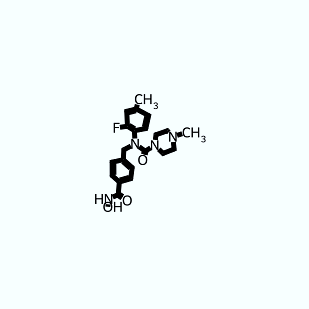 Cc1ccc(N(Cc2ccc(C(=O)NO)cc2)C(=O)N2CCN(C)CC2)c(F)c1